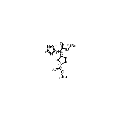 CC(C)(C)OC(=O)N1CCC(N(C(=O)OC(C)(C)C)c2ncns2)C1